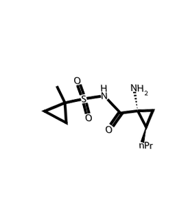 CCC[C@@H]1C[C@]1(N)C(=O)NS(=O)(=O)C1(C)CC1